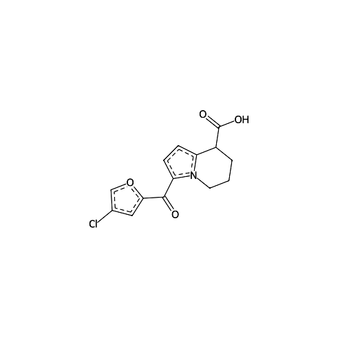 O=C(c1cc(Cl)co1)c1ccc2n1CCCC2C(=O)O